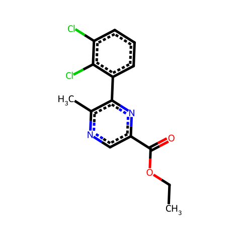 CCOC(=O)c1cnc(C)c(-c2cccc(Cl)c2Cl)n1